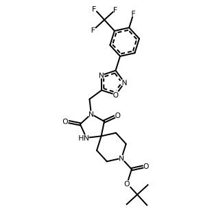 CC(C)(C)OC(=O)N1CCC2(CC1)NC(=O)N(Cc1nc(-c3ccc(F)c(C(F)(F)F)c3)no1)C2=O